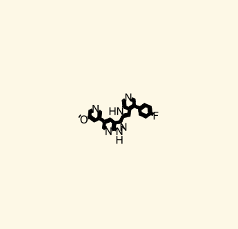 COc1cncc(-c2cnc3[nH]nc(-c4cc5c(-c6ccc(F)cc6)cncc5[nH]4)c3c2)c1